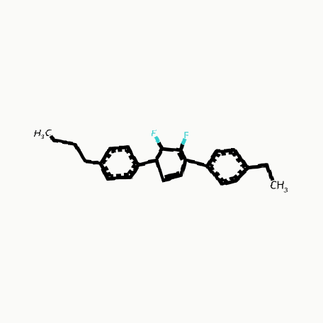 CCCCc1ccc(C2C=CC(c3ccc(CC)cc3)=C(F)C2F)cc1